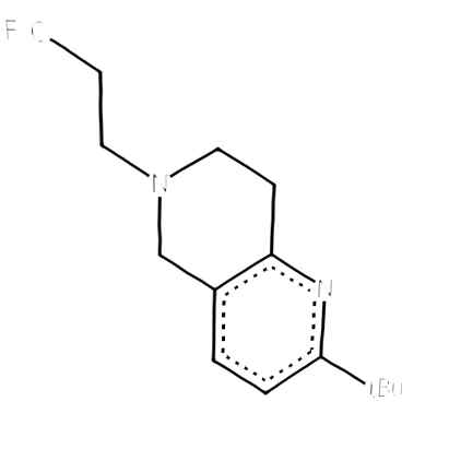 CC(C)(C)c1ccc2c(n1)CCN(CCC(F)(F)F)C2